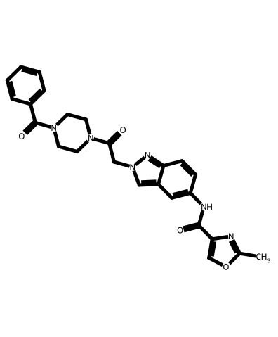 Cc1nc(C(=O)Nc2ccc3nn(CC(=O)N4CCN(C(=O)c5ccccc5)CC4)cc3c2)co1